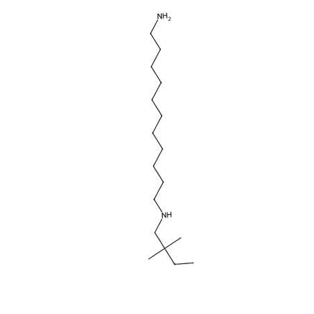 CCC(C)(C)CNCCCCCCCCCCCN